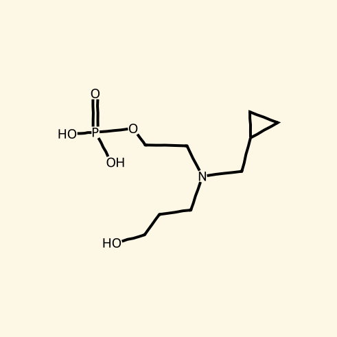 O=P(O)(O)OCCN(CCCO)CC1CC1